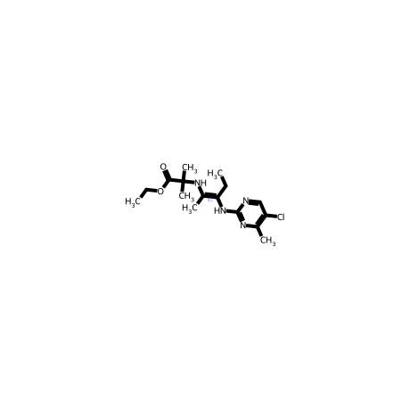 CCOC(=O)C(C)(C)N/C(C)=C(\CC)Nc1ncc(Cl)c(C)n1